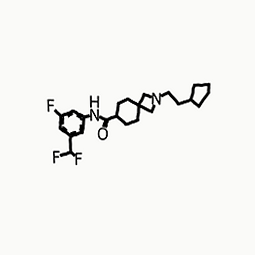 O=C(Nc1cc(F)cc(C(F)F)c1)C1CCC2(CC1)CN(CCC1CCCC1)C2